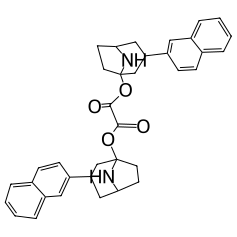 O=C(OC12CCC(CC(c3ccc4ccccc4c3)C1)N2)C(=O)OC12CCC(CC(c3ccc4ccccc4c3)C1)N2